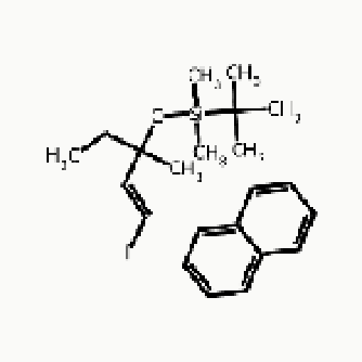 CCC(C)(C=CI)O[Si](C)(C)C(C)(C)C.c1ccc2ccccc2c1